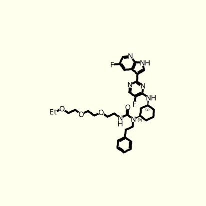 CCOCCOCCOCCNC(=O)N(CCc1ccccc1)[C@@H]1CCC[C@H](Nc2nc(-c3c[nH]c4ncc(F)cc34)ncc2F)C1